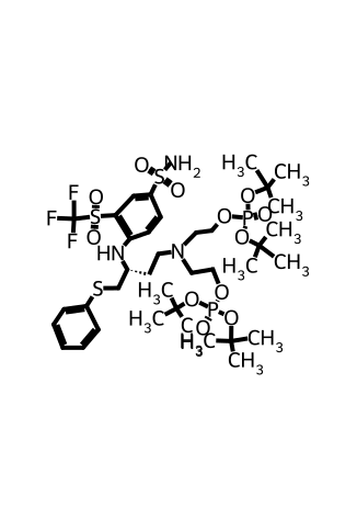 CC(C)(C)OP(=O)(OCCN(CCOP(=O)(OC(C)(C)C)OC(C)(C)C)CC[C@H](CSc1ccccc1)Nc1ccc(S(N)(=O)=O)cc1S(=O)(=O)C(F)(F)F)OC(C)(C)C